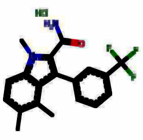 Cc1ccc2c(c1C)c(-c1cccc(C(F)(F)F)c1)c(C(N)=O)n2C.Cl